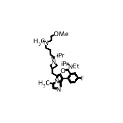 CCN(C(=O)c1cc(F)ccc1-c1cc(CC2CN([C@H](CCCN(C)CCOC)C(C)C)C2)n2c(C)cncc12)C(C)C